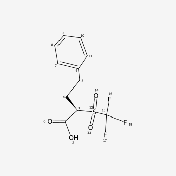 O=C(O)[C@@H](CCc1ccccc1)S(=O)(=O)C(F)(F)F